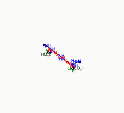 O=C(O)CC(NC(=O)[C@H](COCCOCCOCCNC(=O)CCC(=O)NCCOCCOCCOC[C@H](NC(=O)CCCCNc1ccccn1)C(=O)NC(CC(=O)O)c1cc(Cl)cc(Cl)c1)NC(=O)CCCCNc1ccccn1)c1cc(Cl)cc(Cl)c1